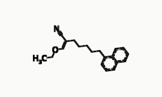 CCOC=C(C#N)CCCCCc1cccc2ccccc12